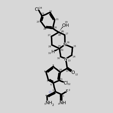 N=C(F)/C(=C\N)c1cccc(C(=O)N2CCN3C[C@](O)(c4ccc(Cl)cc4)CC[C@H]3C2)c1Cl